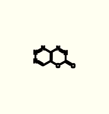 O=c1nnc2nnncc2o1